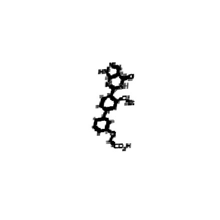 CCOc1cc(-c2cccc(OCC(=O)O)c2)ccc1-c1nc2[nH]nnc2c(=O)[nH]1